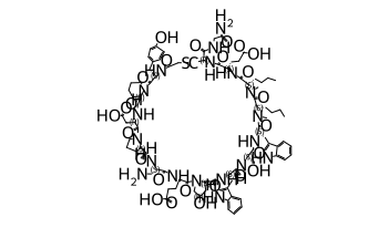 CCCC[C@H]1C(=O)N(C)[C@@H](CCCC)C(=O)N[C@@H](CCC(=O)O)C(=O)N[C@H](C(=O)NCC(N)=O)CSCC(=O)N[C@@H](Cc2ccc(O)cc2)C(=O)N2CCCC[C@H]2C(=O)N[C@H](CC(=O)O)C(=O)N2CCC[C@H]2C(=O)N[C@@H](CN)C(=O)NC(CCC(=O)O)C(=O)N2C[C@H](O)C[C@H]2C(=O)N[C@@H](Cc2c[nH]c3ccccc23)C(=O)N[C@@H](CO)C(=O)N[C@@H](Cc2c[nH]c3ccccc23)C(=O)N1C